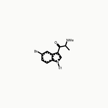 CCn1cc(C(=O)C(C)NC)c2cc(Br)ccc21